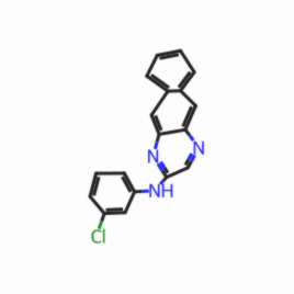 Clc1cccc(Nc2cnc3cc4ccccc4cc3n2)c1